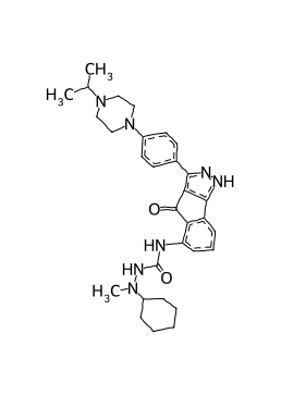 CC(C)N1CCN(c2ccc(-c3n[nH]c4c3C(=O)c3c(NC(=O)NN(C)C5CCCCC5)cccc3-4)cc2)CC1